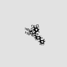 O=C(O[C@H](c1ccc(Cl)c(Cl)c1)[C@H]1OC(O)[C@H](O)[C@@H]1O)c1ccc(-c2ccccc2)cc1